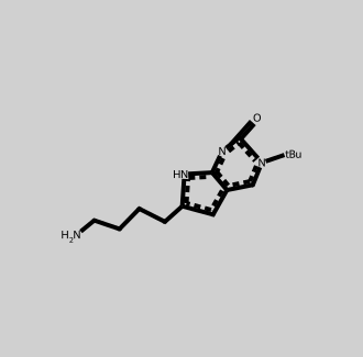 CC(C)(C)n1cc2cc(CCCCN)[nH]c2nc1=O